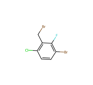 Fc1c(Br)ccc(Cl)c1CBr